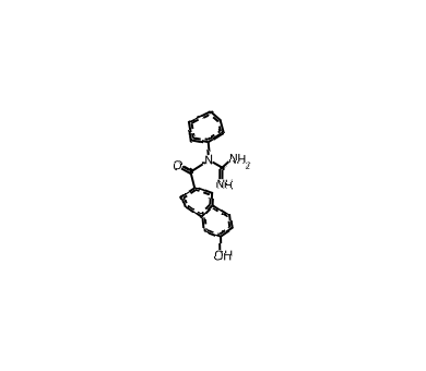 N=C(N)N(C(=O)c1ccc2cc(O)ccc2c1)c1ccccc1